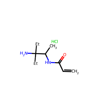 C=CC(=O)NC(C)C(N)(CC)CC.Cl